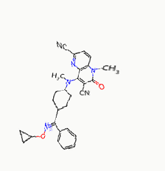 CN(c1c(C#N)c(=O)n(C)c2ccc(C#N)nc12)C1CCC(/C(=N/OC2CC2)c2ccccc2)CC1